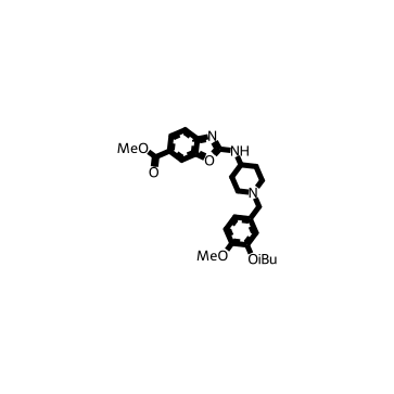 COC(=O)c1ccc2nc(NC3CCN(Cc4ccc(OC)c(OCC(C)C)c4)CC3)oc2c1